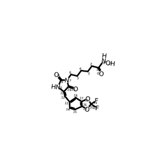 O=C(CCCCCN1C(=O)NC(=Cc2ccc3c(c2)OC(F)(F)O3)C1=O)NO